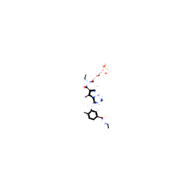 CCNC(=O)c1ccc(C)c(Nc2ncnn3cc(C(=O)N(CC)C(=O)OCOP(=O)(O)O)c(C)c23)c1